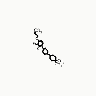 C=CCOc1ccc(C2CCC(C3CCC(C)(C)CC3)CC2)c(F)c1F